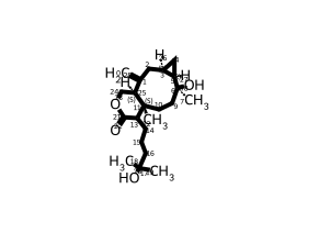 C=C1C[C@H]2C[C@H]2[C@@](C)(O)CC[C@]2(C)C(CCCC(C)(C)O)C(=O)OC[C@@H]12